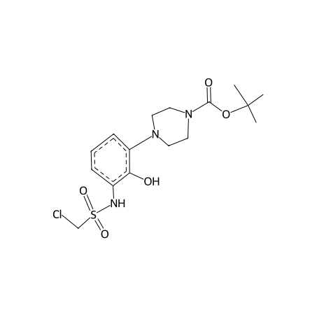 CC(C)(C)OC(=O)N1CCN(c2cccc(NS(=O)(=O)CCl)c2O)CC1